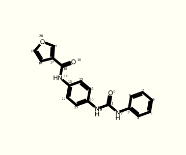 O=C(Nc1ccccc1)Nc1ccc(NC(=O)c2ccoc2)cc1